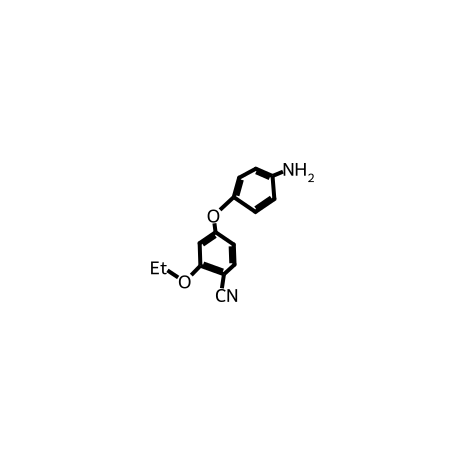 CCOc1cc(Oc2ccc(N)cc2)ccc1C#N